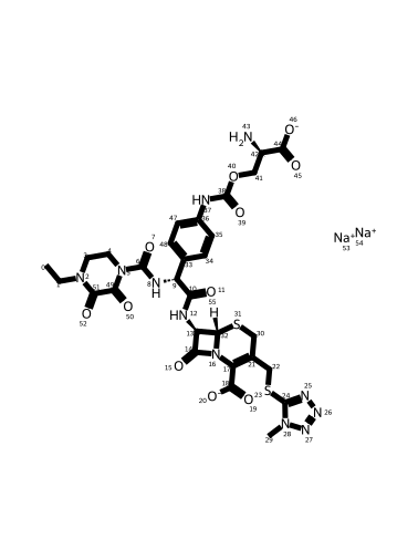 CCN1CCN(C(=O)N[C@@H](C(=O)N[C@@H]2C(=O)N3C(C(=O)[O-])=C(CSc4nnnn4C)CS[C@@H]23)c2ccc(NC(=O)OC[C@@H](N)C(=O)[O-])cc2)C(=O)C1=O.[Na+].[Na+]